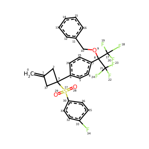 C=C1CC(c2ccc(C(OCc3ccccc3)(C(F)(F)F)C(F)(F)F)cc2)(S(=O)(=O)c2ccc(F)cc2)C1